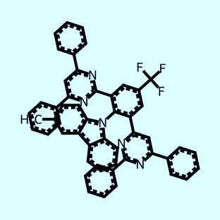 Cc1ccc2c(c1)c1ccccc1n2-c1c(-c2cc(-c3ccccc3)nc(-c3ccccc3)n2)cc(C(F)(F)F)cc1-c1nc(-c2ccccc2)cc(-c2ccccc2)n1